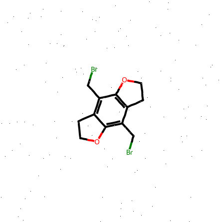 BrCc1c2c(c(CBr)c3c1OCC3)OCC2